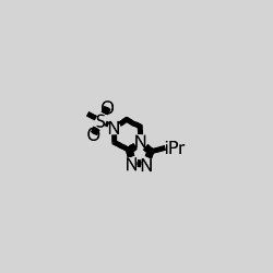 CC(C)c1nnc2n1CCN(S(C)(=O)=O)C2